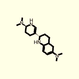 CN(C)C1=CC=C2N[C@H](C3=CN[C@H](N(C)C)CC3)CCC2C1